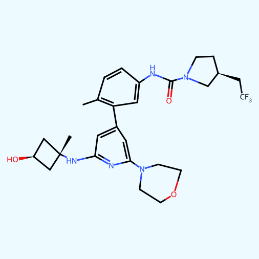 Cc1ccc(NC(=O)N2CC[C@@H](CC(F)(F)F)C2)cc1-c1cc(N[C@]2(C)C[C@@H](O)C2)nc(N2CCOCC2)c1